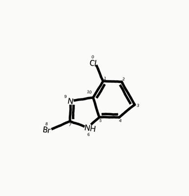 Clc1cccc2[nH]c(Br)nc12